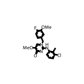 COc1cc(Cn2cc(OC)c(=O)nc2Nc2cccc(Cl)c2C)ccc1F